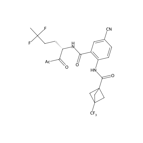 CC(=O)C(=O)[C@H](CCC(C)(F)F)NC(=O)c1cc(C#N)ccc1NC(=O)C12CC(C(F)(F)F)(C1)C2